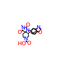 CCCCC1CN(C(=O)O)CCC12C(=O)N(C)C(=O)N2c1ccc2ocnc2c1